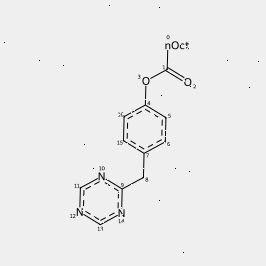 CCCCCCCCC(=O)Oc1ccc(Cc2ncncn2)cc1